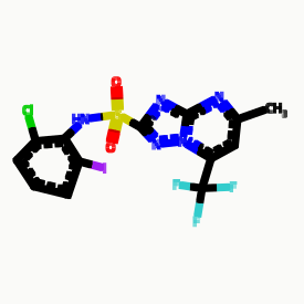 Cc1cc(C(F)(F)F)n2nc(S(=O)(=O)Nc3c(Cl)cccc3I)nc2n1